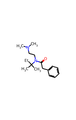 CCC(C)(C)N(CCN(C)C)C(=O)Cc1ccccc1